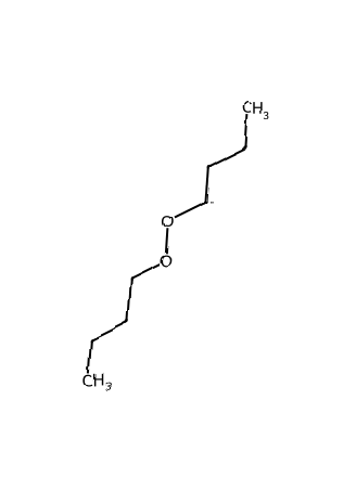 CCC[CH]OOCCCC